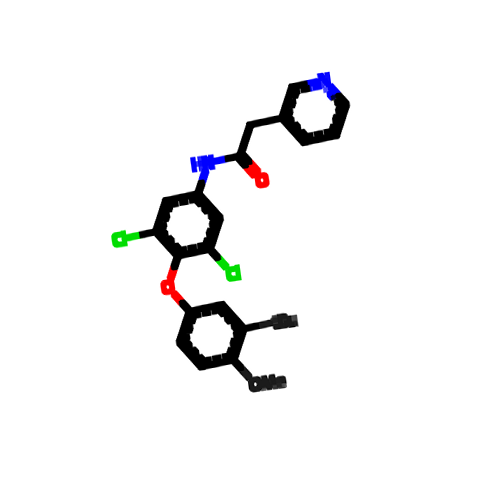 COc1ccc(Oc2c(Cl)cc(NC(=O)Cc3cccnc3)cc2Cl)cc1C(C)(C)C